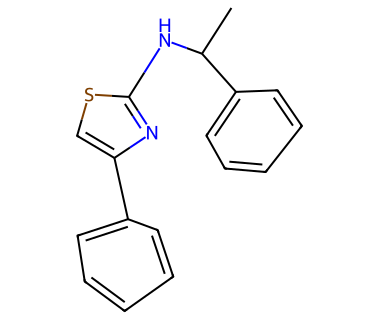 CC(Nc1nc(-c2ccccc2)cs1)c1ccccc1